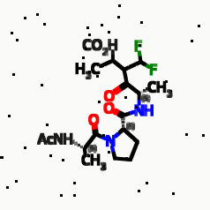 CC(=O)N[C@@H](C)C(=O)N1CCC[C@H]1C(=O)N[C@@H](C)C(=O)C(C(F)F)C(C)C(=O)O